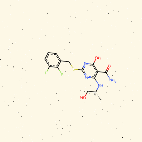 C[C@H](CO)Nc1nc(SCc2cccc(F)c2F)nc(O)c1C(N)=O